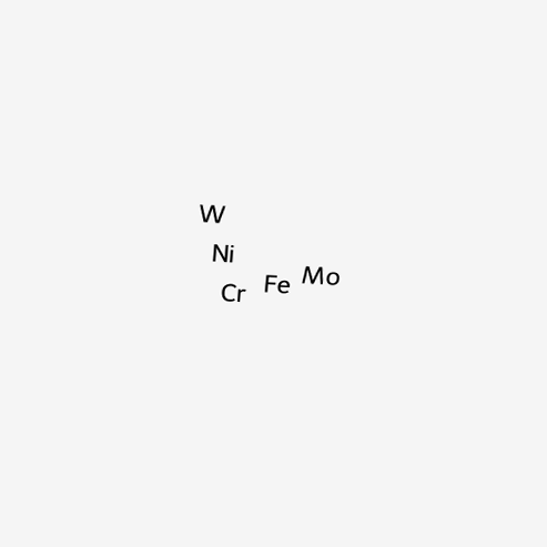 [Cr].[Fe].[Mo].[Ni].[W]